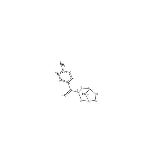 Nc1ccc(C(=O)N2CC3CCC(C2)N3)cn1